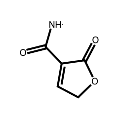 [NH]C(=O)C1=CCOC1=O